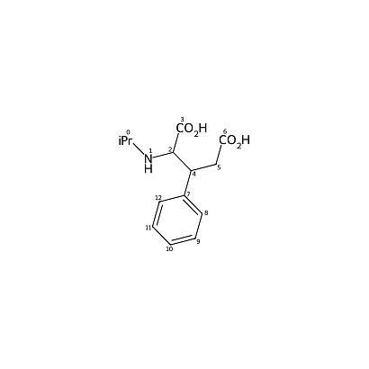 CC(C)NC(C(=O)O)C(CC(=O)O)c1ccccc1